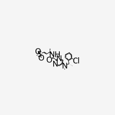 C[C@H](/C=C/S(C)(=O)=O)NC(=O)c1ncc(N(C)[C@@H](C)c2ccccc2Cl)cn1